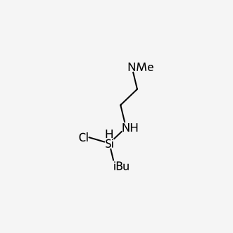 CCC(C)[SiH](Cl)NCCNC